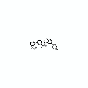 Cc1ccc(N2CCN(C)CC2)cc1C(=O)NC(C)c1cccc(-c2cccc(C(=O)O)c2)c1